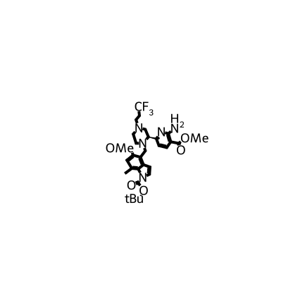 COC(=O)c1ccc([C@@H]2CN(CCC(F)(F)F)CCN2Cc2c(OC)cc(C)c3c2ccn3C(=O)OC(C)(C)C)nc1N